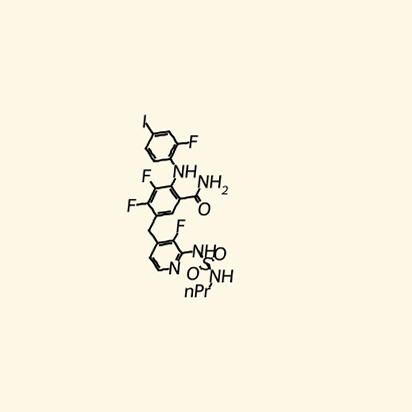 CCCNS(=O)(=O)Nc1nccc(Cc2cc(C(N)=O)c(Nc3ccc(I)cc3F)c(F)c2F)c1F